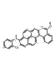 COC(=O)c1ccccc1-c1ccc2ccc3c(Nc4ccccc4Cl)ccc4ccc1c2c43